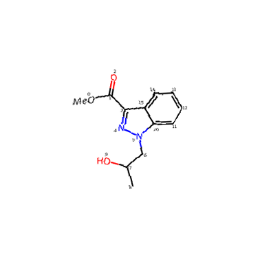 COC(=O)c1nn(CC(C)O)c2ccccc12